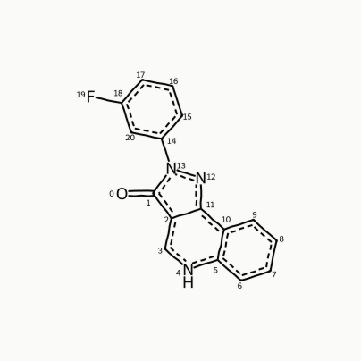 O=c1c2c[nH]c3ccccc3c-2nn1-c1cccc(F)c1